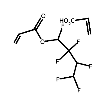 C=CC(=O)O.C=CC(=O)OC(F)C(F)(F)C(F)C(F)F